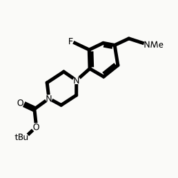 CNCc1ccc(N2CCN(C(=O)OC(C)(C)C)CC2)c(F)c1